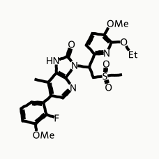 CCOc1nc(C(CS(C)(=O)=O)n2c(=O)[nH]c3c(C)c(-c4cccc(OC)c4F)cnc32)ccc1OC